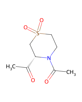 CC(=O)[C@@H]1CS(=O)(=O)CCN1C(C)=O